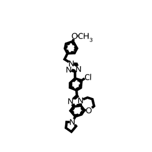 COc1ccc(Cn2cnc(-c3ccc(-c4nc5cc(N6CCCC6)cc6c5n4CCCO6)cc3Cl)n2)cc1